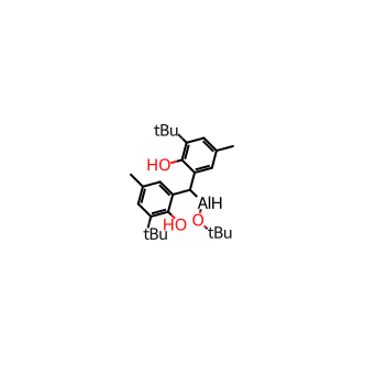 Cc1cc([CH]([AlH][O]C(C)(C)C)c2cc(C)cc(C(C)(C)C)c2O)c(O)c(C(C)(C)C)c1